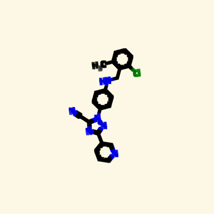 Cc1cccc(Cl)c1CNc1ccc(-n2nc(-c3cccnc3)nc2C#N)cc1